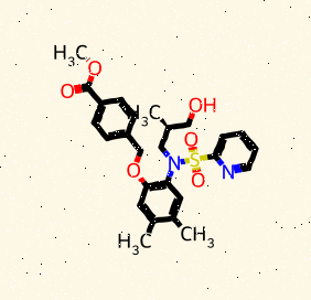 COC(=O)c1ccc(COc2cc(C)c(C)cc2N(C[C@@H](C)CO)S(=O)(=O)c2ccccn2)cc1